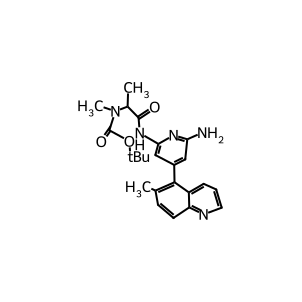 Cc1ccc2ncccc2c1-c1cc(N)nc(NC(=O)C(C)N(C)C(=O)OC(C)(C)C)c1